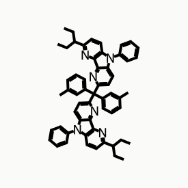 CCC(CC)c1ccc2c(n1)c1nc(C(c3cccc(C)c3)(c3cccc(C)c3)c3ccc4c(n3)c3nc(C(CC)CC)ccc3n4-c3ccccc3)ccc1n2-c1ccccc1